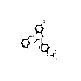 CCN(Cc1cc(Br)ccc1OCc1cccc(Cl)c1)c1ccc(OC(=O)O)cn1